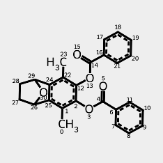 Cc1c(OC(=O)c2ccccc2)c(OC(=O)c2ccccc2)c(C)c2c1C1CCC2O1